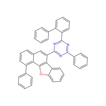 c1ccc(-c2nc(-c3ccccc3-c3ccccc3)nc(-c3cc4cccc(-c5ccccc5)c4c4oc5ccccc5c34)n2)cc1